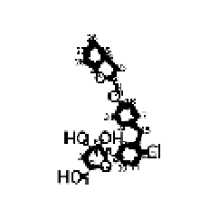 OC[C@@H]1C[C@H](O)[C@@H](O)[C@H](c2ccc(Cl)c(Cc3ccc(OC[C@@H]4Cc5ccccc5O4)cc3)c2)O1